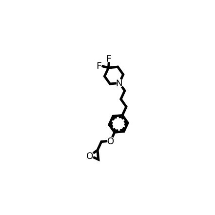 FC1(F)CCN(CCCc2ccc(OCC3CO3)cc2)CC1